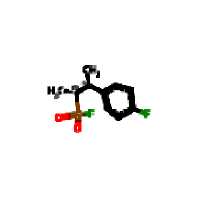 C[C@H]([C@@H](C)c1ccc(F)cc1)S(=O)(=O)F